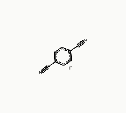 F.N#Cc1ccc(C#N)cc1